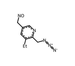 CCc1cc(CN=O)cnc1CN=[N+]=[N-]